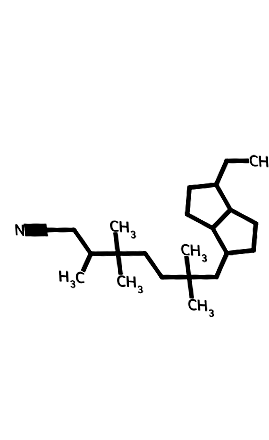 CCC1CCC2C(CC(C)(C)CCC(C)(C)C(C)CC#N)CCC12